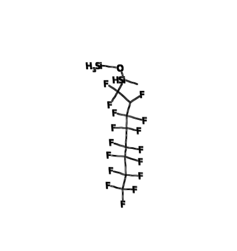 C[SiH](O[SiH3])C(F)(F)C(F)C(F)(F)C(F)(F)C(F)(F)C(F)(F)C(F)(F)C(F)(F)F